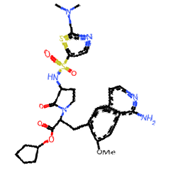 COc1cc2c(N)nccc2cc1CC(C(=O)OC1CCCC1)N1CCC(NS(=O)(=O)c2cnc(N(C)C)s2)C1=O